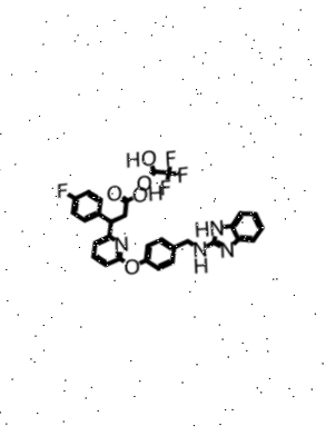 O=C(O)C(F)(F)F.O=C(O)CC(c1ccc(F)cc1)c1cccc(Oc2ccc(CNc3nc4ccccc4[nH]3)cc2)n1